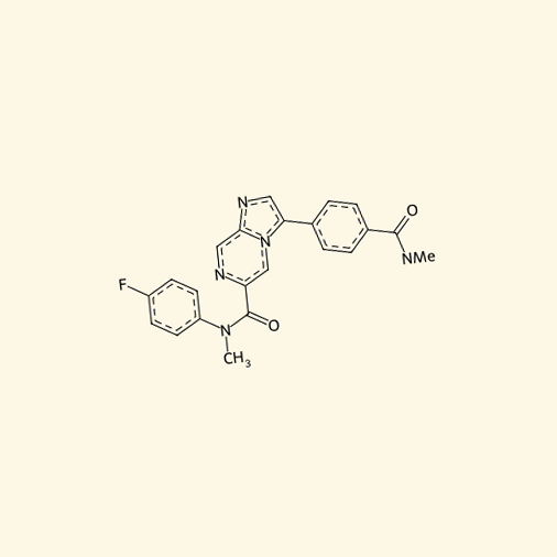 CNC(=O)c1ccc(-c2cnc3cnc(C(=O)N(C)c4ccc(F)cc4)cn23)cc1